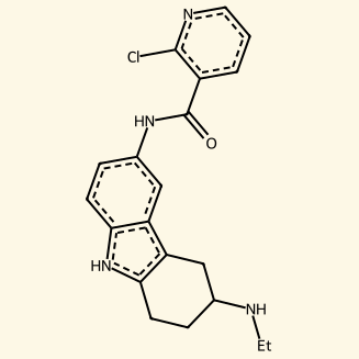 CCNC1CCc2[nH]c3ccc(NC(=O)c4cccnc4Cl)cc3c2C1